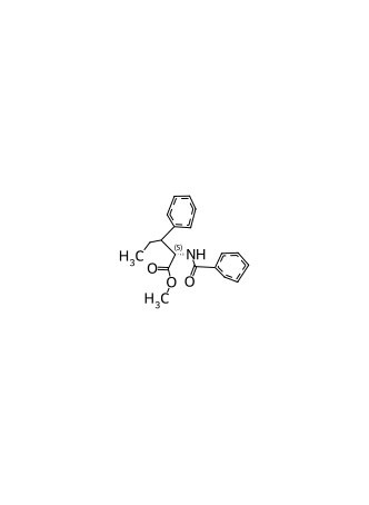 CCC(c1ccccc1)[C@H](NC(=O)c1ccccc1)C(=O)OC